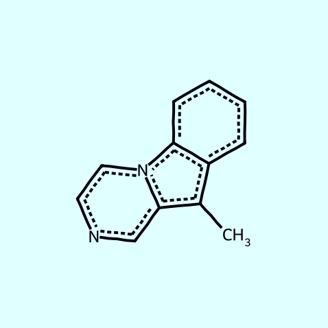 Cc1c2ccccc2n2ccncc12